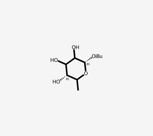 CC(C)CO[C@@H]1OC(C)[C@H](O)C(O)C1O